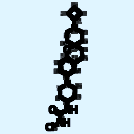 O=C(NCl)NC1CCN(c2ccc3c(c2)CCC2(CCN(C4CCC4)CC2)O3)CC1